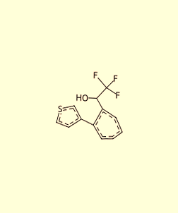 OC(c1ccccc1-c1ccsc1)C(F)(F)F